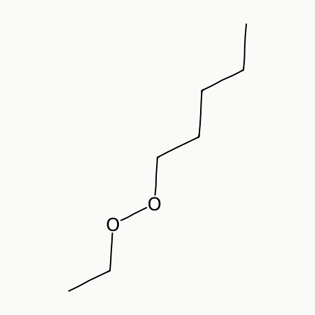 CCCCCOOCC